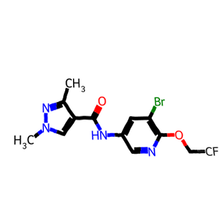 Cc1nn(C)cc1C(=O)Nc1cnc(OCC(F)(F)F)c(Br)c1